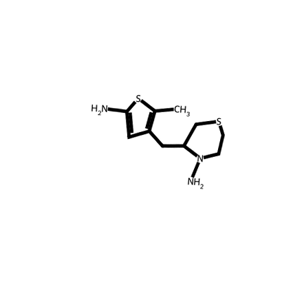 Cc1sc(N)cc1CC1CSCCN1N